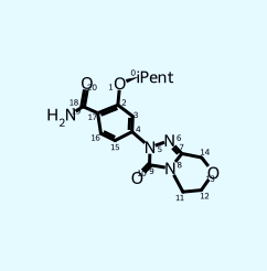 CCC[C@H](C)Oc1cc(-n2nc3n(c2=O)CCOC3)ccc1C(N)=O